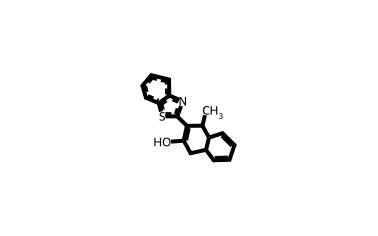 CC1C(c2nc3ccccc3s2)=C(O)CC2C=CC=CC21